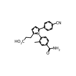 Cc1cc(C(N)=O)ccc1-n1c(CCC(=O)O)ccc1-c1ccc(C#N)cc1